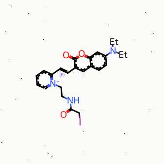 CCN(CC)c1ccc2cc(/C=C/c3cccc[n+]3CCNC(=O)CI)c(=O)oc2c1